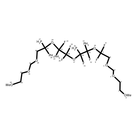 COCCOCOCC(F)(F)OC(F)(P)C(F)(P)OC(F)(F)C(F)(P)OC(P)(P)COCOCCOC